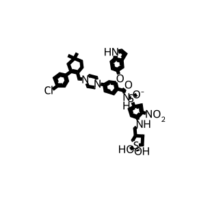 CC1(C)CCC(CN2CCN(c3ccc(C(=O)N[S+]([O-])c4ccc(NCC5CCS(O)(O)C5)c([N+](=O)[O-])c4)c(Oc4ccc5[nH]ccc5c4)c3)CC2)=C(c2ccc(Cl)cc2)C1